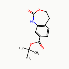 CC(C)(C)OC(=O)c1ccc2c(c1)NC(=O)OCC2